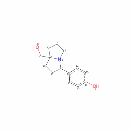 OCC12CCCN1C(c1ccc(O)cc1)CC2